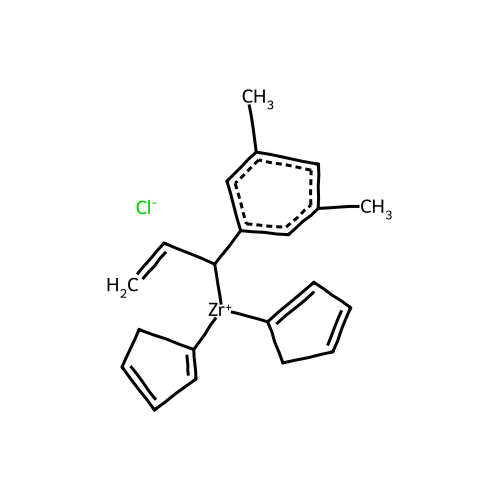 C=C[CH](c1cc(C)cc(C)c1)[Zr+]([C]1=CC=CC1)[C]1=CC=CC1.[Cl-]